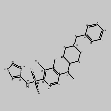 Cc1c(N(C)C2CCN(Cc3ccccc3)CC2)cnc(S(=O)(=O)Nc2cscn2)c1F